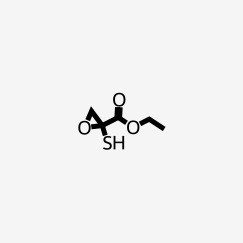 CCOC(=O)C1(S)CO1